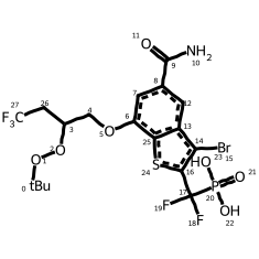 CC(C)(C)OOC(COc1cc(C(N)=O)cc2c(Br)c(C(F)(F)P(=O)(O)O)sc12)CC(F)(F)F